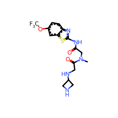 CN(CC(=O)Nc1nc2ccc(OC(F)(F)F)cc2s1)C(=O)CNC1CNC1